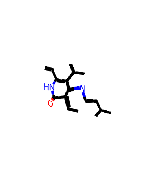 C=CC1=C(C(C)C)C(=N/C=C/C(C)C)/C(=C\C)C(=O)N1